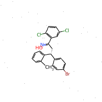 Cc1ccccc1[C@H](C/C(=N\O)c1cc(Cl)ccc1Cl)c1ccc(Br)cc1